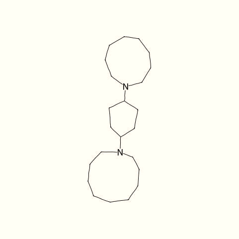 C1CCCCN(C2CCC(N3CCCCCCCC3)CC2)CCCC1